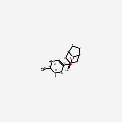 O=C1CC2CCC(C1)N2CC1=CNC(Cl)NC1